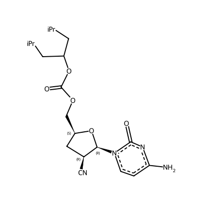 CC(C)CC(CC(C)C)OC(=O)OC[C@@H]1C[C@H](C#N)[C@H](n2ccc(N)nc2=O)O1